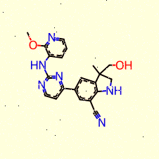 COc1ncccc1Nc1nccc(-c2cc(C#N)c3c(c2)C(C)(CO)CN3)n1